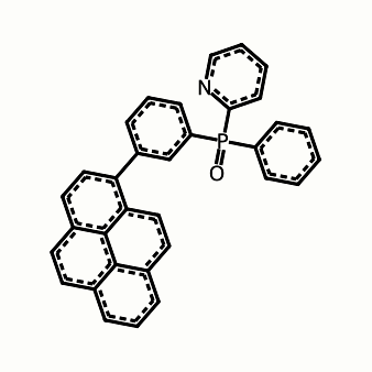 O=P(c1ccccc1)(c1cccc(-c2ccc3ccc4cccc5ccc2c3c45)c1)c1ccccn1